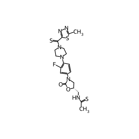 CC(=S)NC[C@H]1CN(c2ccc(N3CCN(C(=S)c4nnc(C)s4)CC3)c(F)c2)C(=O)O1